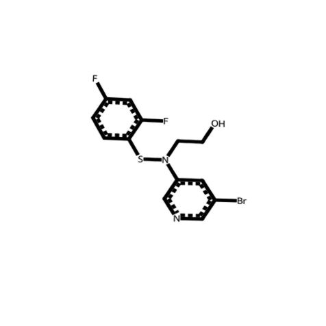 OCCN(Sc1ccc(F)cc1F)c1cncc(Br)c1